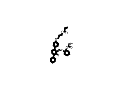 C=CC(=O)OCCCOc1ccc(-c2ccc(-c3ccccc3)c(F)c2F)cc1.CCCC(=O)Oc1ccccc1C#N